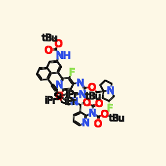 CC(C)[Si](C#Cc1cccc2cc(NC(=O)OC(C)(C)C)cc(-c3nc4c5c(nc(OC[C@@]67CCCN6C[C@H](F)C7)nc5c3F)N([C@H](C)c3cccnc3N(C(=O)OC(C)(C)C)C(=O)OC(C)(C)C)CCO4)c12)(C(C)C)C(C)C